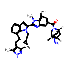 COc1cc(C(=O)N2C[C@H]3CC[C@@H]2C[C@@H]3N)cc2nc(-c3cc4cccc(CCc5c(C)n[nH]c5C)c4n3CC3CC3)n(C)c12